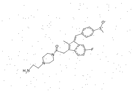 CC1=C(CC(=O)N2CCN(CCN)CC2)c2ccc(F)cc2/C1=C\c1ccc([S+](C)[O-])cc1